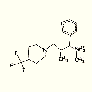 [CH2-][NH2+][C@@H](c1ccccc1)[C@@H](C)CN1CCC(C(F)(F)F)CC1